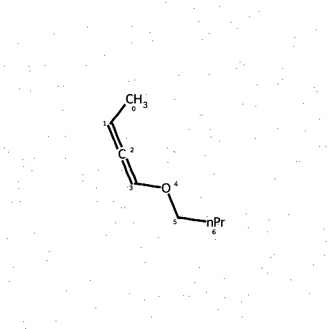 CC=C=COCCCC